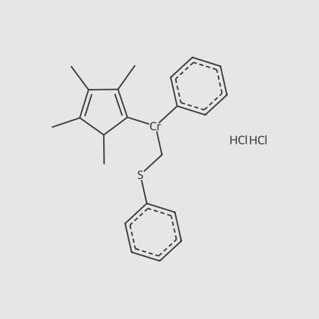 CC1=C(C)C(C)[C]([Cr]([CH2]Sc2ccccc2)[c]2ccccc2)=C1C.Cl.Cl